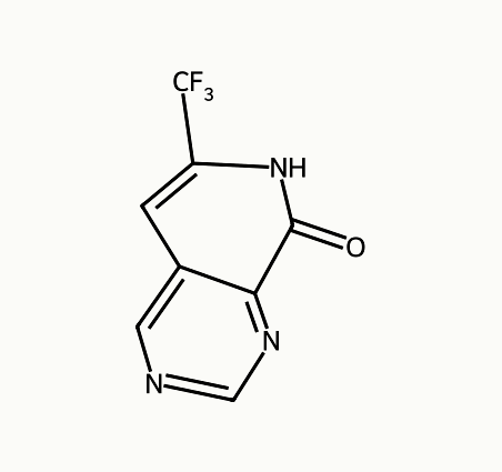 O=c1[nH]c(C(F)(F)F)cc2cncnc12